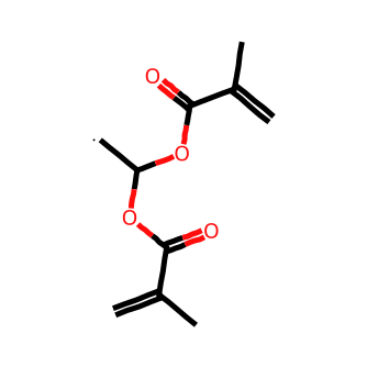 [CH2]C(OC(=O)C(=C)C)OC(=O)C(=C)C